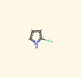 Fc1ccc[nH]1